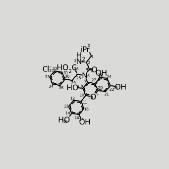 CC(C)C[C@H](N)C(=O)N(c1c(O)c(-c2ccc(O)c(O)c2)[o+]c2cc(O)cc(O)c12)[C@@H](Cc1ccccc1)C(=O)O.[Cl-]